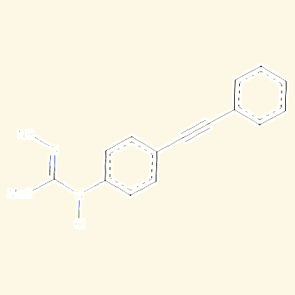 CSC(=NC#N)N(Cl)c1ccc(C#Cc2ccccc2)cc1